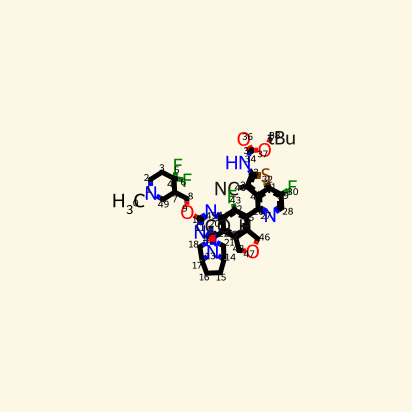 CN1CCC(F)(F)C(COc2nc(N3C4CCC3CN(C(=O)O)C4)c3c4c(c(-c5ncc(F)c6sc(NC(=O)OC(C)(C)C)c(C#N)c56)c(F)c3n2)COC4)C1